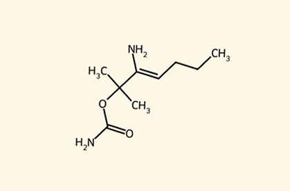 CCCC=C(N)C(C)(C)OC(N)=O